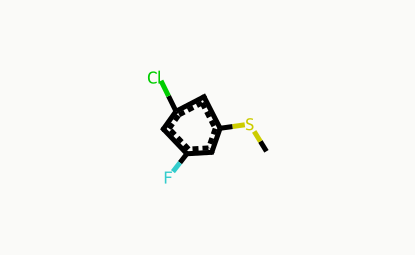 CSc1cc(F)cc(Cl)c1